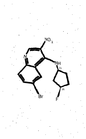 O=[N+]([O-])c1cnc2ccc(Br)cc2c1N[C@H]1CC[C@@H](F)C1